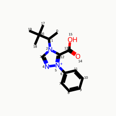 CC(n1cn[n+](-c2ccccc2)c1C(=O)O)C(C)(C)C